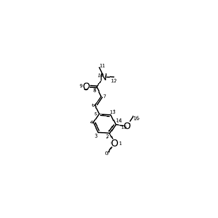 COc1ccc(C=CC(=O)N(C)C)cc1OC